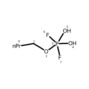 CCCCOP(O)(O)(F)F